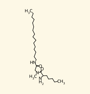 CCCCCCCCCCCCCCCCNC(=O)CN(C)C(=O)C(N)CCCCC